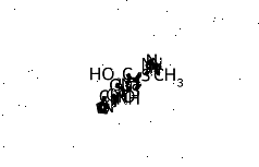 Cn1nnnc1SCC1=C(C(=O)O)N2C(=O)C(NC(=O)Cn3cccc3C=O)C2SC1